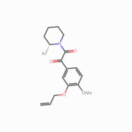 C=CCOc1cc(C(=O)C(=O)N2CCCC[C@H]2C(C)=O)ccc1OC